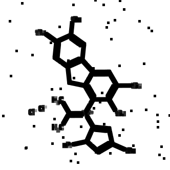 CCCC1C=C(C(C)(C)C)C=[C]1[Zr+2](=[C](C)C)[c]1c2c(cc(C(C)(C)C)c1C(C)(C)C)-c1cc(C(C)(C)C)c(C(C)(C)C)cc1C2.[Cl-].[Cl-]